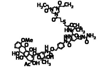 C=CC(=O)N1CN(C(=O)C=C)CN(C(=O)CCSCC(=O)N[C@@H](C(=C)C)C(=O)N[C@@H](CCCNC(N)=O)C(=O)Nc2ccc(COC(=O)N[C@H]3C[C@H](O[C@H]4C[C@](O)(C(C)=O)Cc5c(O)c6c(c(O)c54)C(=O)c4c(OC)cccc4C6O)O[C@@H](C)[C@H]3O)cc2)C1